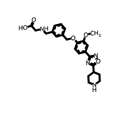 COc1cc(-c2noc(C3CCNCC3)n2)ccc1OCc1cccc(CNCC(=O)O)c1